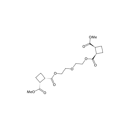 COC(=O)[C@H]1CC[C@H]1C(=O)OCCOCCOC(=O)[C@H]1CC[C@H]1C(=O)OC